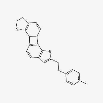 Cc1ccc(CCc2cc3ccc4c(c3s2)C2C=CC3=C(SCC3)C42)cc1